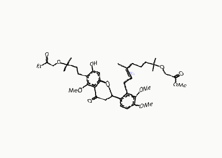 CCC(=O)COC(C)(C)CCc1c(O)cc2c(c1OC)C(=O)CC(c1ccc(OC)c(OC)c1C/C=C(\C)CCCC(C)(C)OCC(=O)OC)O2